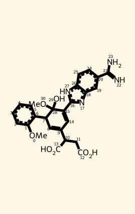 COc1ccccc1C1C=C(C(CC(=O)O)C(=O)O)C=C(c2nc3cc(C(=N)N)ccc3[nH]2)C1(O)OC